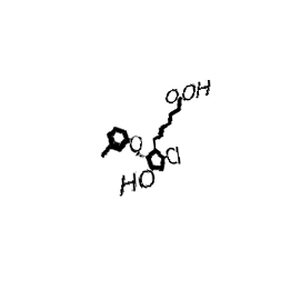 Cc1cccc(OC[C@@H]2[C@@H](CC=CCCCC(=O)O)[C@H](Cl)C[C@H]2O)c1